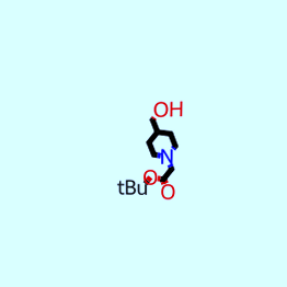 CC(C)(C)OC(=O)CN1CCC(CO)CC1